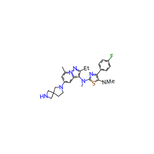 CCc1nn2c(C)cc(N3CCC4(CNC4)C3)cc2c1N(C)c1nc(-c2ccc(F)cc2)c(NC)s1